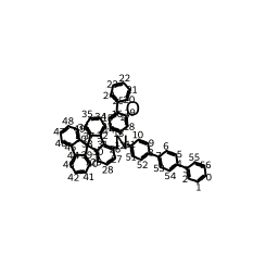 c1ccc(-c2ccc(-c3ccc(N(c4ccc5c(c4)oc4ccccc45)c4cccc5c4-c4ccccc4C54c5ccccc5-c5ccccc54)cc3)cc2)cc1